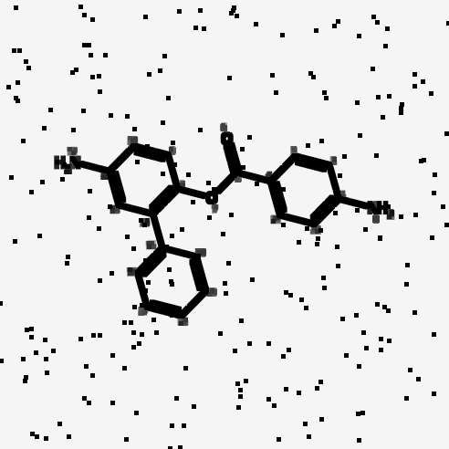 Nc1ccc(C(=O)Oc2ccc(N)cc2-c2ccccc2)cc1